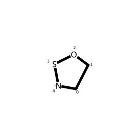 C1COS[N]1